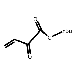 C=CC(=O)C(=O)OCCCC